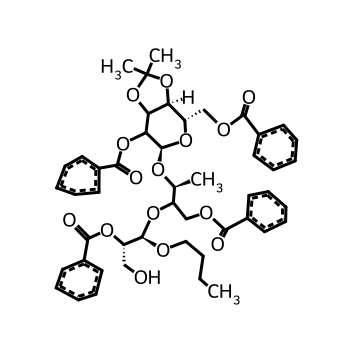 CCCCO[C@H](OC(COC(=O)c1ccccc1)[C@H](C)O[C@@H]1O[C@@H](COC(=O)c2ccccc2)[C@@H]2OC(C)(C)OC2C1OC(=O)c1ccccc1)[C@H](CO)OC(=O)c1ccccc1